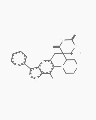 C[C@@H]1OCCN2c3c(nc4c(-c5ccccn5)noc4c3Cl)CC3(C(=O)NC(=O)NC3=O)[C@@H]12